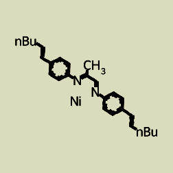 CCCCC=Cc1ccc(N=CC(C)=Nc2ccc(C=CCCCC)cc2)cc1.[Ni]